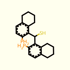 Pc1ccc2c(c1C(S)c1c(P)ccc3c1CCCC3)CCCC2